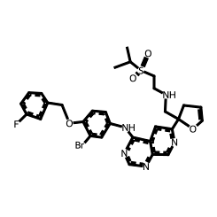 CC(C)S(=O)(=O)CCNCC1(c2cc3c(Nc4ccc(OCc5cccc(F)c5)c(Br)c4)ncnc3cn2)CC=CO1